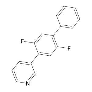 Fc1cc(-c2cccnc2)c(F)cc1-c1ccccc1